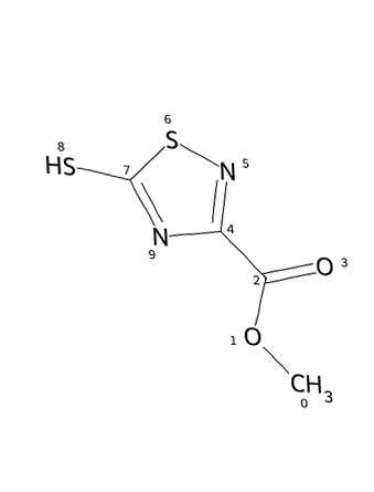 COC(=O)c1nsc(S)n1